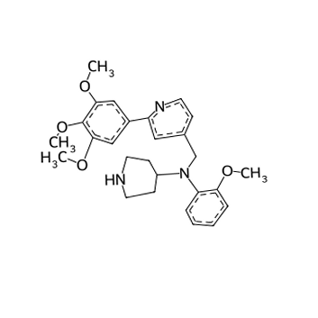 COc1ccccc1N(Cc1ccnc(-c2cc(OC)c(OC)c(OC)c2)c1)C1CCNCC1